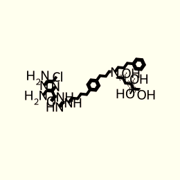 N=C(NCCCCc1ccc(CCCN(CCCc2ccccc2)C[C@H](O)C[C@H](O)[C@H](O)CO)cc1)NC(=O)c1nc(Cl)c(N)nc1N